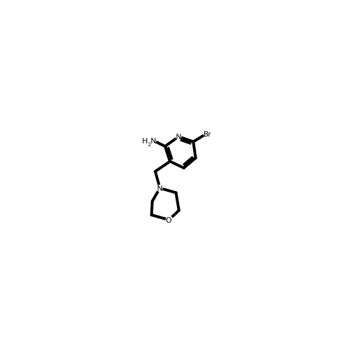 Nc1nc(Br)ccc1CN1CCOCC1